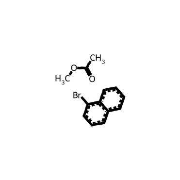 Brc1cccc2ccccc12.COC(C)=O